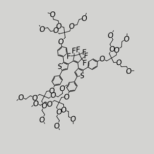 COCCOCC(COCCOC)(COCCOC)COc1ccc(-c2cc(C3=C(c4cc(-c5ccc(OCC(COCCOC)(COCCOC)COCCOC)cc5)sc4-c4ccc(OCC(COCCOC)(COCCOC)COCCOC)cc4)C(F)(F)C(F)(F)C3(F)F)c(-c3ccc(OCC(COCCOC)(COCCOC)COCCOC)cc3)s2)cc1